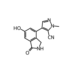 Cn1ncc(-c2cc(O)cc3c2CNC3=O)c1C#N